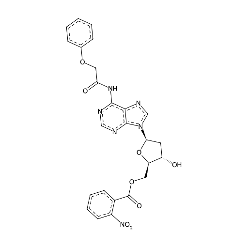 O=C(COc1ccccc1)Nc1ncnc2c1ncn2[C@H]1C[C@H](O)[C@@H](COC(=O)c2ccccc2[N+](=O)[O-])O1